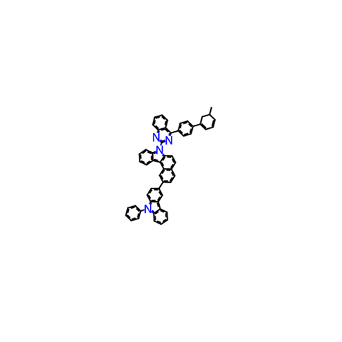 CC1C=CC=C(c2ccc(-c3nc(-n4c5ccccc5c5c6cc(-c7ccc8c(c7)c7ccccc7n8-c7ccccc7)ccc6ccc54)nc4ccccc34)cc2)C1